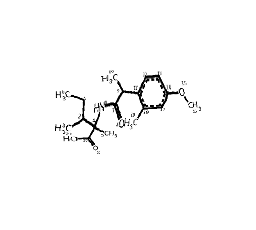 CCC(C)C(C)(NC(=O)C(C)c1ccc(OC)cc1C)C(=O)O